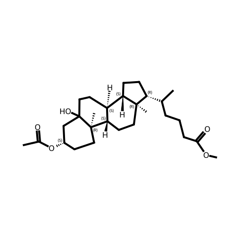 COC(=O)CCCC(C)[C@H]1CC[C@H]2[C@@H]3CCC4(O)C[C@@H](OC(C)=O)CC[C@]4(C)[C@H]3CC[C@]12C